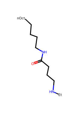 CCCCCCCCCCCCNC(=O)CCCNCC